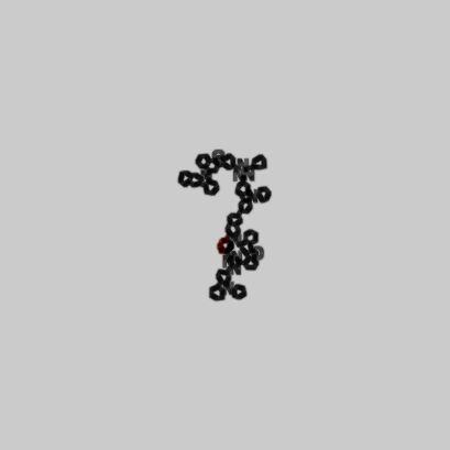 c1ccc(-c2nc(-c3ccc4oc5c6ccccc6c(-n6c7ccccc7c7cc8ccccc8cc76)cc5c4c3)nc(-c3ccc4c5cc(-c6ccc7cc8c9ccccc9n(-c9cc%10c(oc%11cccc(-c%12nc(-c%13ccccc%13)nc(-c%13ccc%14c%15ccccc%15n(-c%15ccccc%15)c%14c%13)n%12)c%11%10)c%10ccccc9%10)c8cc7c6)ccc5n(-c5ccccc5)c4c3)n2)cc1